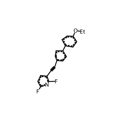 CCOc1ccc(-c2ccc(C#Cc3ccc(F)nc3F)cc2)cc1